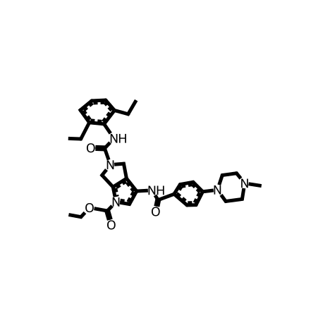 CCOC(=O)n1cc(NC(=O)c2ccc(N3CCN(C)CC3)cc2)c2c1CN(C(=O)Nc1c(CC)cccc1CC)C2